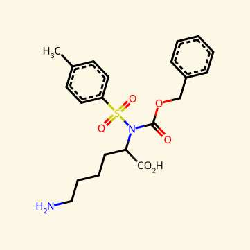 Cc1ccc(S(=O)(=O)N(C(=O)OCc2ccccc2)C(CCCCN)C(=O)O)cc1